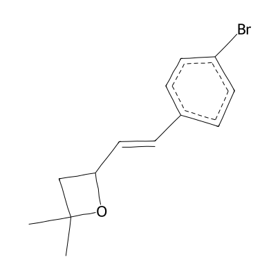 CC1(C)CC(C=Cc2ccc(Br)cc2)O1